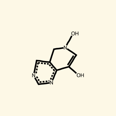 OC1=CN(O)Cc2cncnc21